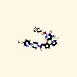 C[Si](C)(C)CCOCn1ncc(N2CCC[C@H]2C2CCC(CC(=O)N3CCN(c4ccc(C#N)cn4)CC3)C2=O)c(C(F)(F)F)c1=O